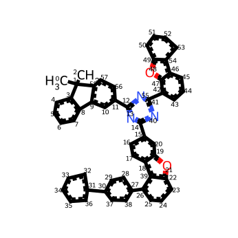 CC1(C)c2ccccc2-c2cc(-c3nc(-c4ccc5c(c4)oc4cccc(-c6ccc(-c7ccccc7)cc6)c45)nc(-c4cccc5c4oc4ccccc45)n3)ccc21